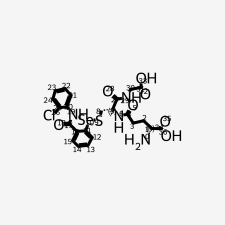 N[C@H](CCC(=O)N[C@H](CS[Se]c1ccccc1C(=O)Nc1ccccc1Cl)C(=O)NCC(=O)O)C(=O)O